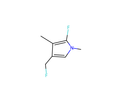 Cc1c(CF)cn(C)c1F